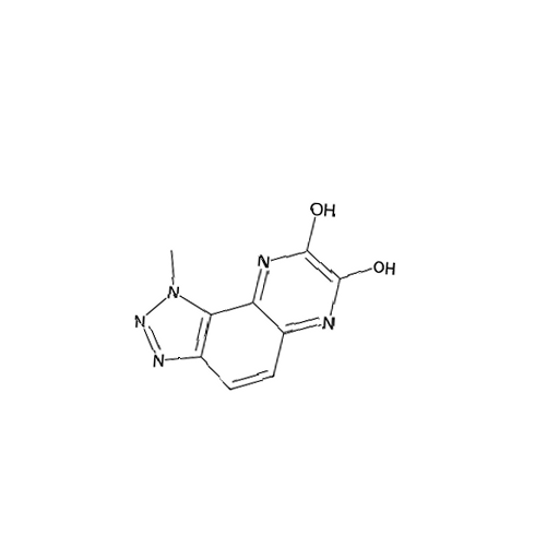 Cn1nnc2ccc3nc(O)c(O)nc3c21